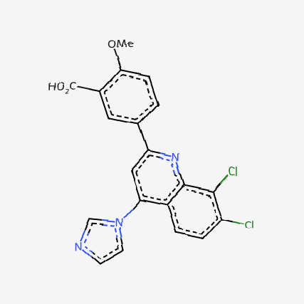 COc1ccc(-c2cc(-n3ccnc3)c3ccc(Cl)c(Cl)c3n2)cc1C(=O)O